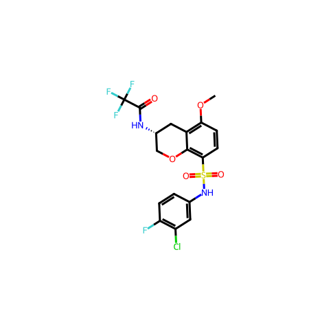 COc1ccc(S(=O)(=O)Nc2ccc(F)c(Cl)c2)c2c1C[C@@H](NC(=O)C(F)(F)F)CO2